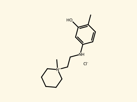 Cc1ccc(NCC[N+]2(C)CCCCC2)cc1O.[Cl-]